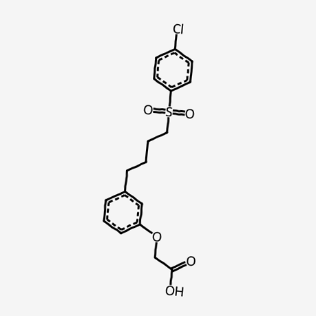 O=C(O)COc1cccc(CCCCS(=O)(=O)c2ccc(Cl)cc2)c1